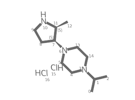 CC(C)N1CCN([C@H]2CCN[C@H]2C)CC1.Cl.Cl